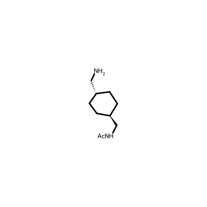 CC(=O)NC[C@H]1CC[C@H](CN)CC1